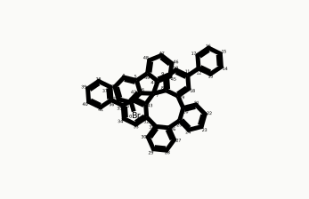 Brc1cccc2c1C1(c3ccc(-c4ccccc4)cc3-c3ccccc3-c3ccccc3-c3ccc(-c4ccccc4)cc31)c1ccccc1-2